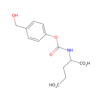 O=C(O)CCC(NC(=O)Oc1ccc(CO)cc1)C(=O)O